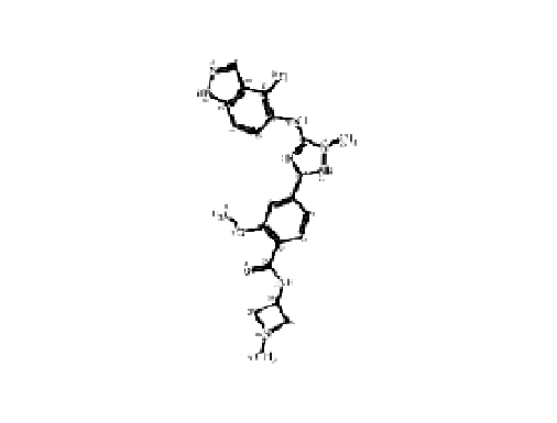 COc1cc(C2N=C(Nc3ccc4[nH]ncc4c3Cl)N(C)N2)ccc1C(=O)NC1CN(C)C1